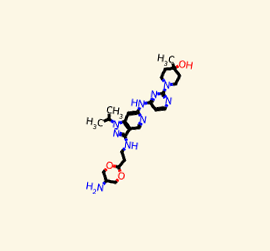 CC(C)n1nc(NCCC2OCC(N)CO2)c2cnc(Nc3ccnc(N4CCC(C)(O)CC4)n3)cc21